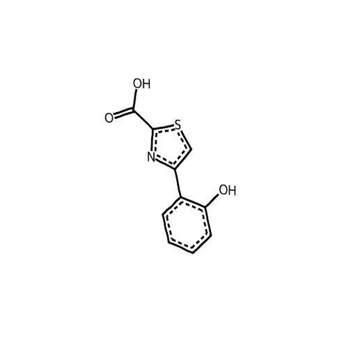 O=C(O)c1nc(-c2ccccc2O)cs1